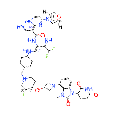 Cn1c(=O)n(C2CCC(=O)NC2=O)c2cccc(N3CC(O[C@H]4CCN(C[C@H]5CC[C@H](N/C=C(\NC(=O)/C(C=N)=C6\N=C(N7C[C@H]8C[C@@H]7CO8)C=CN6)C(=N)C(F)F)CC5)C[C@H]4F)C3)c21